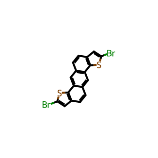 Brc1cc2ccc3cc4c(ccc5cc(Br)sc54)cc3c2s1